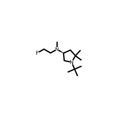 CN(CCF)[C@@H]1CN(C(C)(C)C)C(C)(C)C1